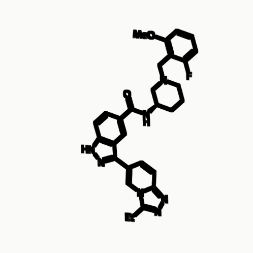 CCc1nnc2ccc(-c3n[nH]c4ccc(C(=O)N[C@@H]5CCCN(Cc6c(F)cccc6OC)C5)cc34)cn12